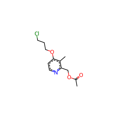 CC(=O)OCc1nccc(OCCCCl)c1C